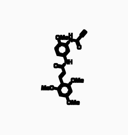 C#CC(=O)Nc1cc(NC(=O)C=Cc2c(OC)cc(OC)cc2OC)ccc1OC